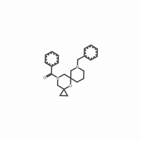 O=C(c1ccccc1)N1CC2(CC2)OC2(CCCN(Cc3ccccc3)C2)C1